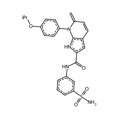 C=C1C=Cc2cc(C(=O)Nc3cccc(S(N)(=O)=O)c3)[nH]c2N1c1ccc(OC(C)C)cc1